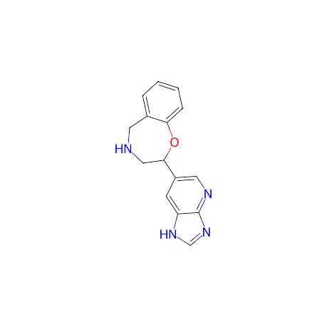 c1ccc2c(c1)CNCC(c1cnc3nc[nH]c3c1)O2